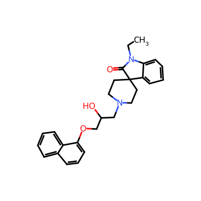 CCN1C(=O)C2(CCN(CC(O)COc3cccc4ccccc34)CC2)c2ccccc21